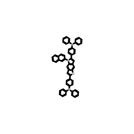 c1ccc(N(c2ccccc2)c2ccc(-c3cc4cc5c(cc(-c6ccc(N(c7ccccc7)c7ccccc7)cc6)n5-c5ccc6ccccc6c5)cc4o3)cc2)cc1